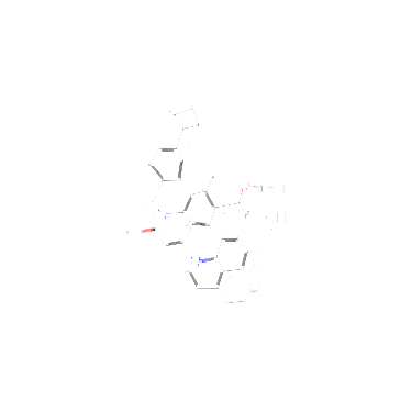 Cc1cc2c(ccc(=O)n2Cc2ccc(C3CCC3)cc2)c(-c2ccc3c4c(ccnc24)CCO3)c1C(OC(C)(C)C)C(=O)O